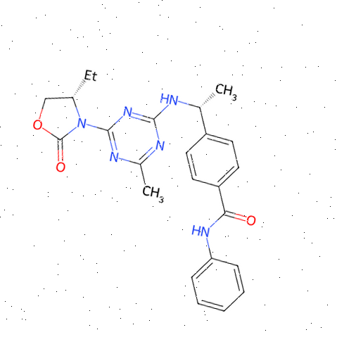 CC[C@H]1COC(=O)N1c1nc(C)nc(N[C@H](C)c2ccc(C(=O)Nc3ccccc3)cc2)n1